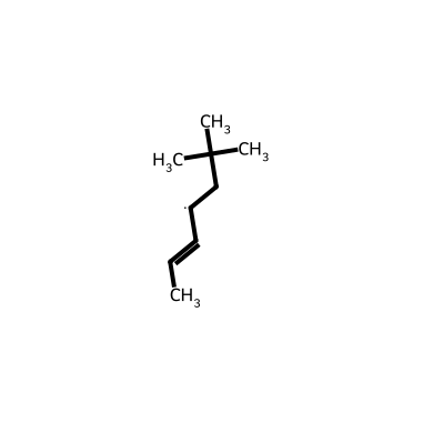 CC=C[CH]CC(C)(C)C